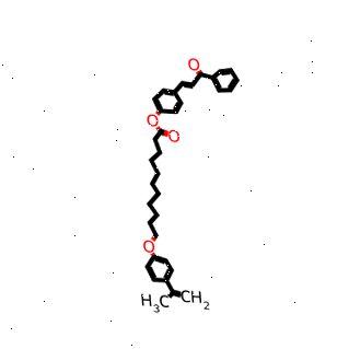 C=C(C)c1ccc(OCCCCCCCCCCC(=O)Oc2ccc(C=CC(=O)c3ccccc3)cc2)cc1